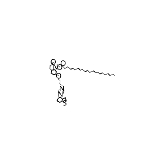 CCC=CCC=CCC=CCC=CCC=CCC=CCCC(=O)OCN1C(=O)CCc2ccc(OCCCCN3CCN(c4cccc5sccc45)CC3)cc21